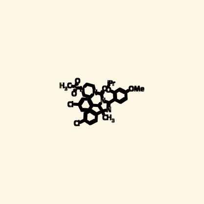 COc1ccc(C2=NC(C)(c3ccc(Cl)cc3)C(c3ccc(Cl)cc3)N2C(=O)N2CCN(S(C)(=O)=O)CC2)c(OC(C)C)c1